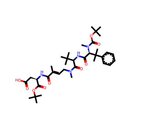 C/C(=C\CN(C)C(=O)C(NC(=O)[C@@H](N(C)C(=O)OC(C)(C)C)C(C)(C)c1ccccc1)C(C)(C)C)C(=O)N[C@H](CC(=O)O)C(=O)OC(C)(C)C